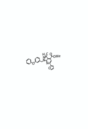 COC(=O)c1cc(-c2ccco2)nc2c1c(C)nn2Cc1cccc(Oc2ccccc2)c1